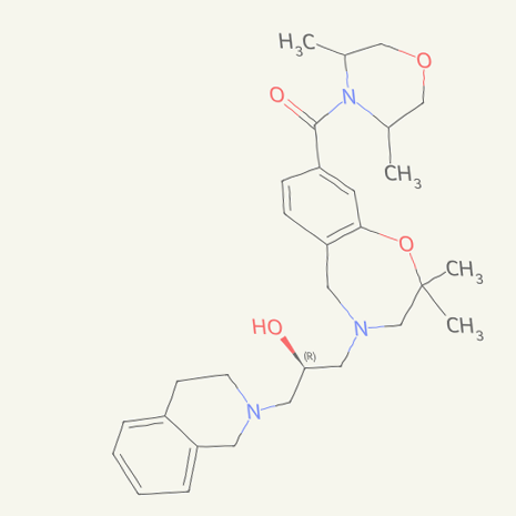 CC1COCC(C)N1C(=O)c1ccc2c(c1)OC(C)(C)CN(C[C@H](O)CN1CCc3ccccc3C1)C2